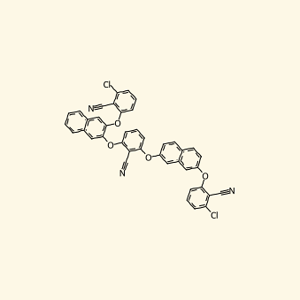 N#Cc1c(Cl)cccc1Oc1ccc2ccc(Oc3cccc(Oc4cc5ccccc5cc4Oc4cccc(Cl)c4C#N)c3C#N)cc2c1